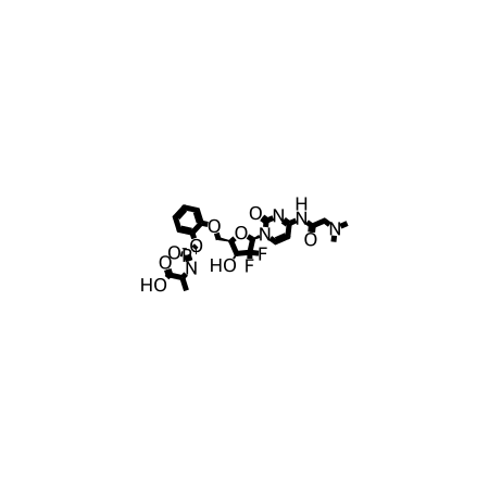 CC(/N=[P+](\[O-])Oc1ccccc1OC[C@H]1O[C@@H](n2ccc(NC(=O)CN(C)C)nc2=O)C(F)(F)[C@@H]1O)C(=O)O